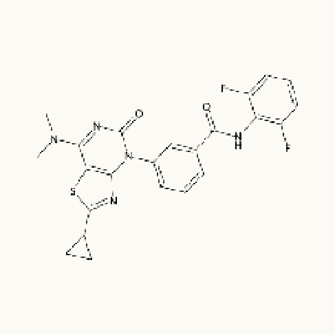 CN(C)c1nc(=O)n(-c2cccc(C(=O)Nc3c(F)cccc3F)c2)c2nc(C3CC3)sc12